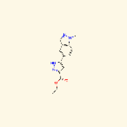 CCOC(=O)c1cc(-c2ccc3c(cnn3C)c2)[nH]n1